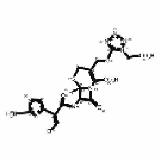 Nc1nc(C(=CCl)C(=O)NC2C(=O)N3C(C(=O)O)=C(CSc4nnnn4CC(=O)O)CS[C@@H]23)cs1